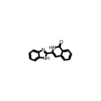 O=c1[nH]c(-c2nc3ccccc3[nH]2)cc2ccccc12